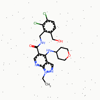 CCn1ncc2c(NC3CCOCC3)c(C(=O)NCc3c(CO)ccc(Cl)c3Cl)cnc21